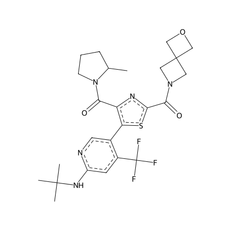 CC1CCCN1C(=O)c1nc(C(=O)N2CC3(COC3)C2)sc1-c1cnc(NC(C)(C)C)cc1C(F)(F)F